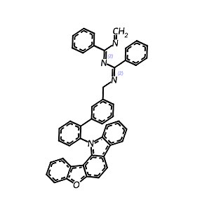 C=N/C(=N\C(=N/Cc1cccc(-c2ccccc2-n2c3ccccc3c3ccc4oc5ccccc5c4c32)c1)c1ccccc1)c1ccccc1